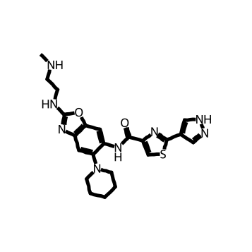 CNCCNc1nc2cc(N3CCCCC3)c(NC(=O)c3csc(-c4cn[nH]c4)n3)cc2o1